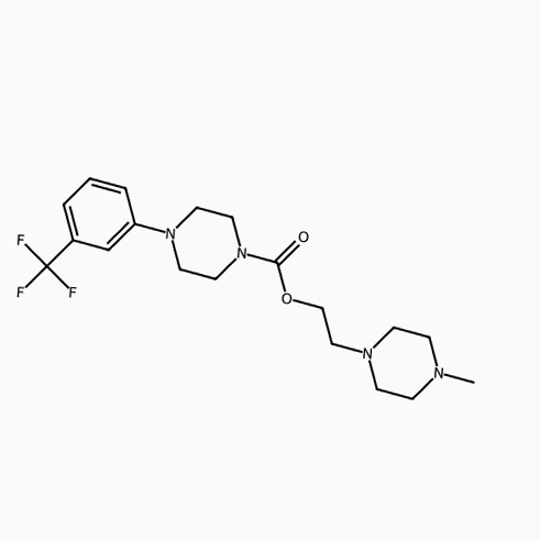 CN1CCN(CCOC(=O)N2CCN(c3cccc(C(F)(F)F)c3)CC2)CC1